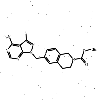 CC(C)(C)OC(=O)N1CCc2cc(Cn3nc(I)c4c(N)ncnc43)ccc2C1